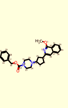 COc1nc(C2CCC(N3CCN(C(=O)OCc4ccccc4)CC3)C2)cc2ccccc12